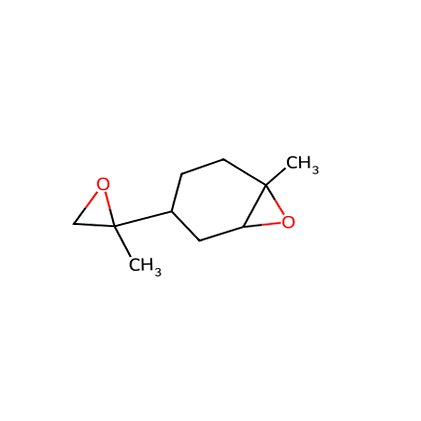 CC1(C2CCC3(C)OC3C2)CO1